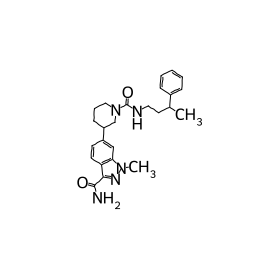 CC(CCNC(=O)N1CCCC(c2ccc3c(C(N)=O)nn(C)c3c2)C1)c1ccccc1